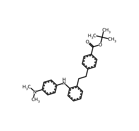 CN(C)c1ccc(Nc2ccccc2CCc2ccc(C(=O)OC(C)(C)C)cc2)cc1